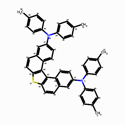 Cc1ccc(N(c2ccc(C)cc2)c2ccc3c(ccc4sc5ccc6cc(N(c7ccc(C)cc7)c7ccc(C)cc7)ccc6c5c43)c2)cc1